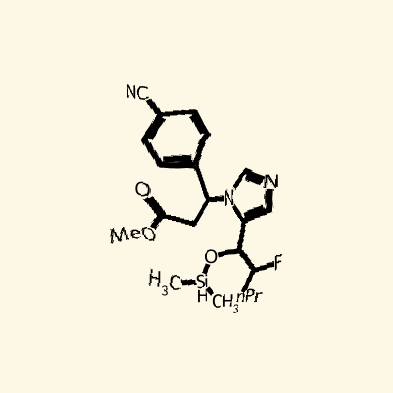 CCCC(F)C(O[SiH](C)C)c1cncn1C(CC(=O)OC)c1ccc(C#N)cc1